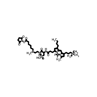 CCCCC1=CC(CCC(=O)NC(CS(=O)(=O)O)C(=O)NCCN(C)CCCCCC(=O)ON2C(=O)CCC2=O)=[N+]2C1=Cc1c(CCC[N+](C)(C)C)cc(C)n1[B-]2(F)F